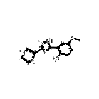 COc1ccc(O)c(-c2nc(-c3cnccn3)n[nH]2)c1